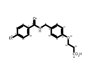 CCc1ccc(C(=O)NCc2ccc(OCCC(=O)O)cc2)cc1